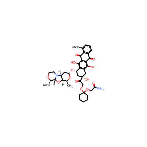 COc1cccc2c1C(=O)c1c(O)c3c(c(O)c1C2=O)C[C@@](O)(C(=O)COC1(OCC(N)=O)CCCCC1)C[C@@H]3O[C@H]1C[C@H]2[C@H](O[C@@H]3[C@@H](OC)OCCN32)[C@H](C)O1